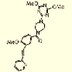 COc1nc(OC)nc(N2CCN(C(=O)c3ccc(OC)c(C#Cc4ccccn4)c3)CC2)n1